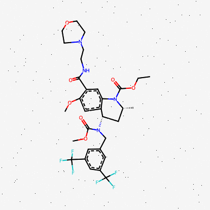 CCOC(=O)N1c2cc(C(=O)NCCN3CCOCC3)c(OC)cc2[C@@H](N(Cc2cc(C(F)(F)F)cc(C(F)(F)F)c2)C(=O)OC)C[C@H]1C